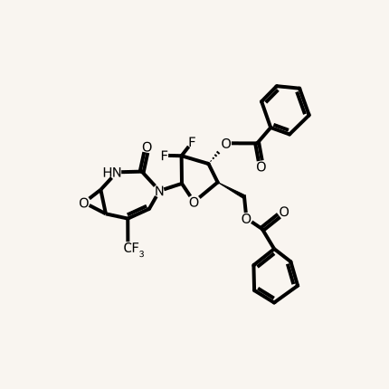 O=C(OC[C@H]1OC(N2C=C(C(F)(F)F)C3OC3NC2=O)C(F)(F)[C@@H]1OC(=O)c1ccccc1)c1ccccc1